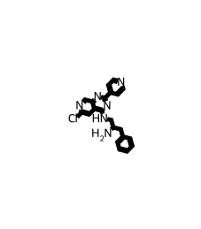 NC(CNc1nc(-c2ccncc2)nc2cnc(Cl)cc12)Cc1ccccc1